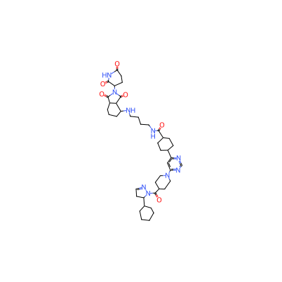 O=C1CCC(N2C(=O)C3CCCC(NCCCCNC(=O)C4CCC(c5cc(N6CCC(C(=O)N7N=CCC7C7CCCCC7)CC6)ncn5)CC4)C3C2=O)C(=O)N1